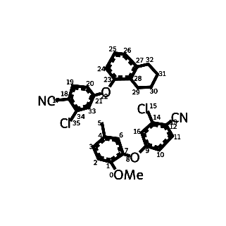 COc1ccc(C)cc1Oc1ccc(C#N)c(Cl)c1.N#Cc1ccc(Oc2cccc3c2CCCC3)cc1Cl